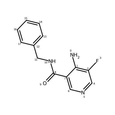 Nc1c(F)cncc1C(=O)NCc1ccccc1